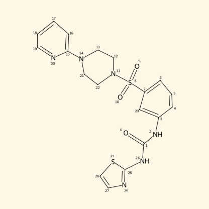 O=C(Nc1cccc(S(=O)(=O)N2CCN(c3ccccn3)CC2)c1)Nc1nccs1